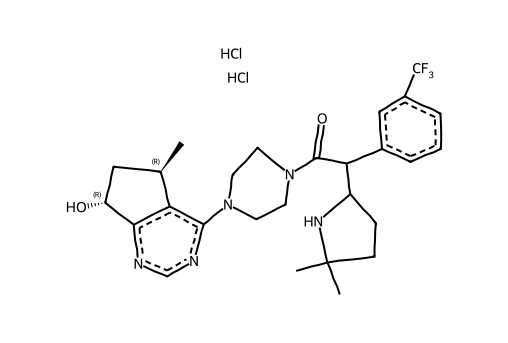 C[C@@H]1C[C@@H](O)c2ncnc(N3CCN(C(=O)C(c4cccc(C(F)(F)F)c4)C4CCC(C)(C)N4)CC3)c21.Cl.Cl